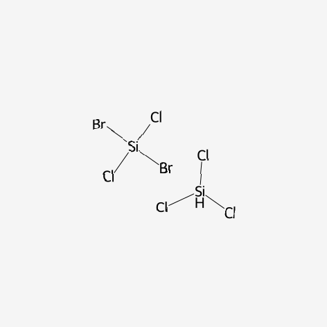 Cl[SiH](Cl)Cl.Cl[Si](Cl)(Br)Br